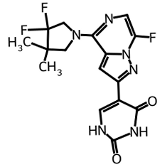 CC1(C)CN(c2ncc(F)n3nc(-c4c[nH]c(=O)[nH]c4=O)cc23)CC1(F)F